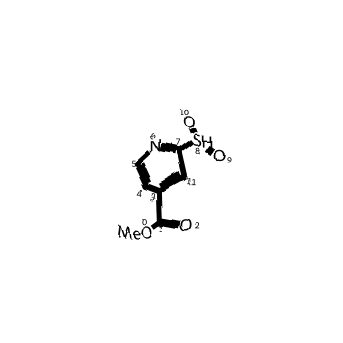 COC(=O)c1ccnc([SH](=O)=O)c1